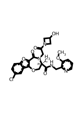 COc1cccnc1CNC(=O)[C@@]1(C)COc2c(oc3ccc(Cl)cc23)C(=O)N1CC(=O)N1CC(O)C1